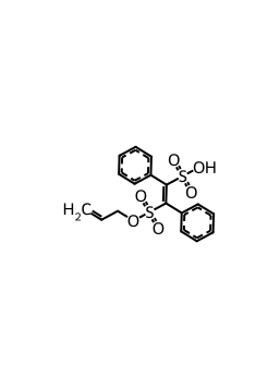 C=CCOS(=O)(=O)C(=C(c1ccccc1)S(=O)(=O)O)c1ccccc1